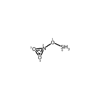 [SiH3]On1oo1